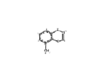 Cc1cccc2c1OC=NC2